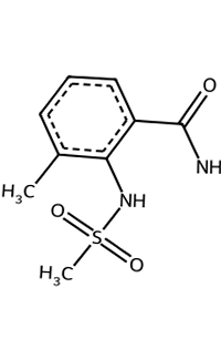 Cc1cccc(C(N)=O)c1NS(C)(=O)=O